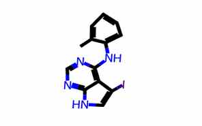 Cc1ccccc1Nc1ncnc2[nH]cc(I)c12